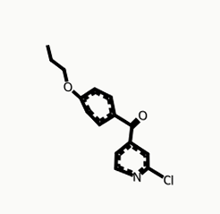 CCCOc1ccc(C(=O)c2ccnc(Cl)c2)cc1